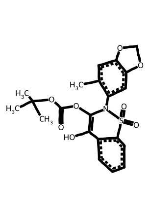 Cc1cc2c(cc1N1C(OC(=O)OC(C)(C)C)=C(O)c3ccccc3S1(=O)=O)OCO2